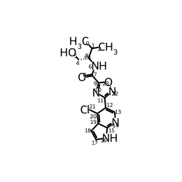 CC(C)[C@@H](CO)NC(=O)c1nc(-c2cnc3[nH]ccc3c2Cl)no1